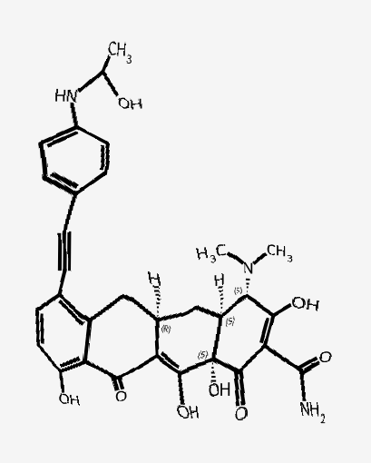 CC(O)Nc1ccc(C#Cc2ccc(O)c3c2C[C@H]2C[C@H]4[C@H](N(C)C)C(O)=C(C(N)=O)C(=O)[C@@]4(O)C(O)=C2C3=O)cc1